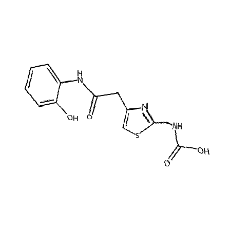 O=C(O)Nc1nc(CC(=O)Nc2ccccc2O)cs1